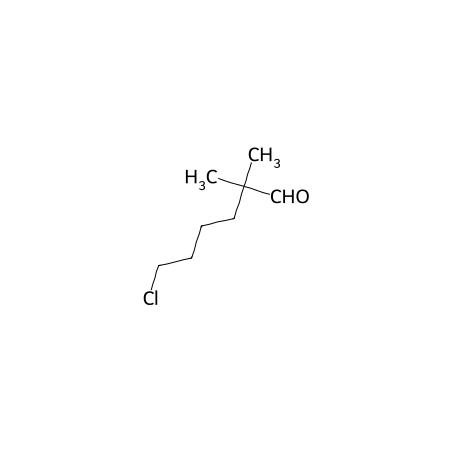 CC(C)(C=O)CCCCCl